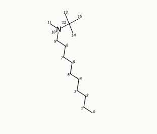 CCCCCCCCCCN(C)C(C)(C)C